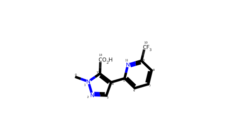 Cn1ncc(-c2cccc(C(F)(F)F)n2)c1C(=O)O